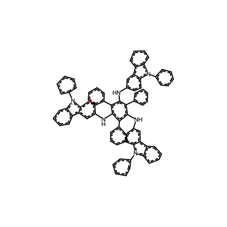 c1ccc(-c2c(Nc3ccc4c(c3)c3ccccc3n4-c3ccccc3)c(-c3ccccc3)c(Nc3ccc4c(c3)c3ccccc3n4-c3ccccc3)c(-c3ccccc3)c2Nc2ccc3c(c2)c2ccccc2n3-c2ccccc2)cc1